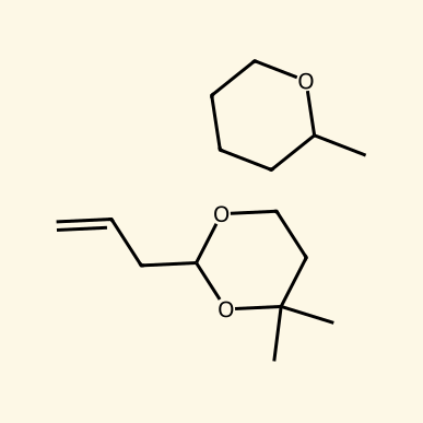 C=CCC1OCCC(C)(C)O1.CC1CCCCO1